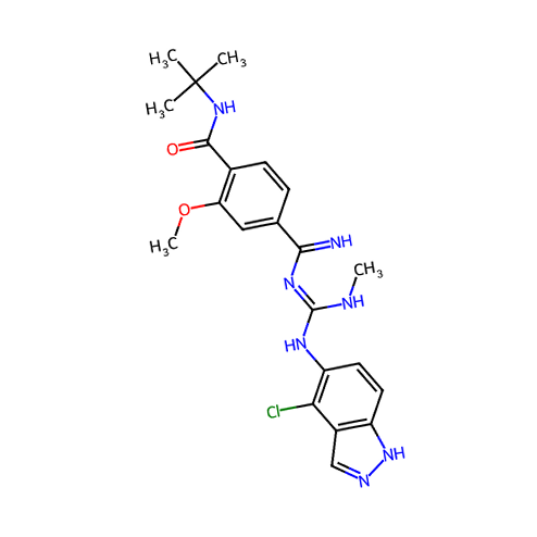 CN/C(=N\C(=N)c1ccc(C(=O)NC(C)(C)C)c(OC)c1)Nc1ccc2[nH]ncc2c1Cl